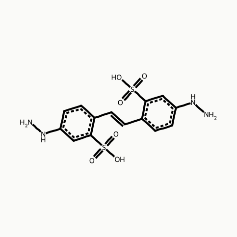 NNc1ccc(C=Cc2ccc(NN)cc2S(=O)(=O)O)c(S(=O)(=O)O)c1